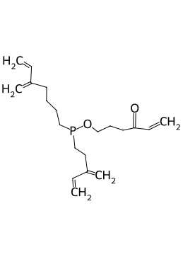 C=CC(=C)CCCCP(CCC(=C)C=C)OCCCC(=O)C=C